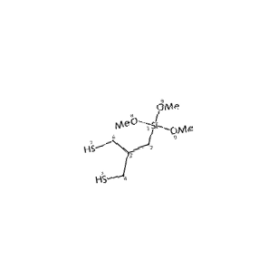 CO[Si](CC(CS)CS)(OC)OC